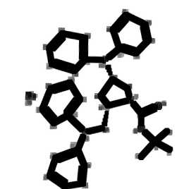 CC(C)(C)OC(=O)N1C[C@@H](P(c2ccccc2)c2ccccc2)C[C@H]1CP(c1ccccc1)c1ccccc1.[Rh]